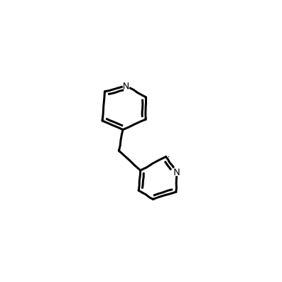 [c]1ncccc1Cc1ccncc1